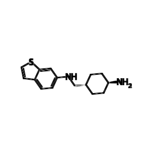 N[C@H]1CC[C@H](CNc2ccc3ccsc3c2)CC1